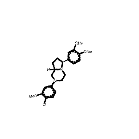 COc1cc(N2CCN3[C@@H](CC[C@H]3c3ccc(OC)c(OC)c3)C2)ccc1Cl